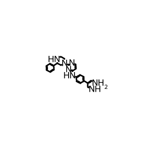 N=C/C(=C\N)c1ccc(Nc2ccnc(N3CCNC(c4ccccc4)C3)n2)cc1